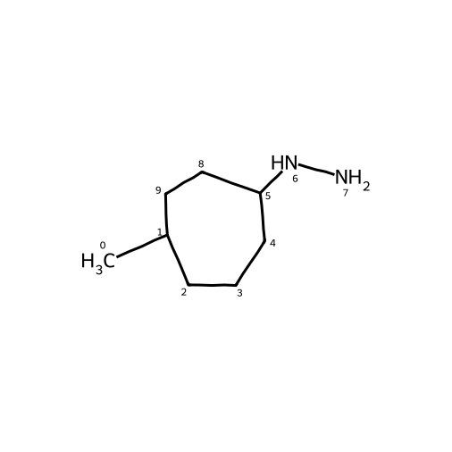 CC1CCCC(NN)CC1